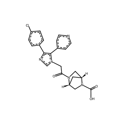 O=C(O)N1C[C@H]2C[C@@H]1CN2C(=O)Cn1cnc(-c2ccc(Cl)cc2)c1-c1ccncc1